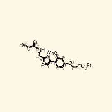 CCOC(=O)COc1ccc(-c2csc(CNC(=O)OC(C)(C)C)n2)c(OC)c1